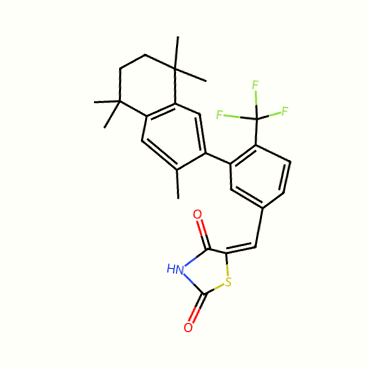 Cc1cc2c(cc1-c1cc(C=C3SC(=O)NC3=O)ccc1C(F)(F)F)C(C)(C)CCC2(C)C